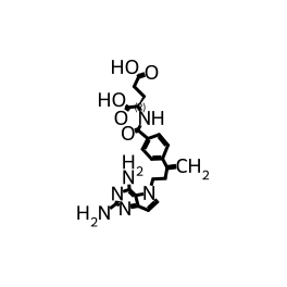 C=C(CCn1ccc2nc(N)nc(N)c21)c1ccc(C(=O)N[C@H](CCC(=O)O)C(=O)O)cc1